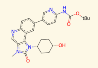 Cn1c(=O)n([C@H]2CC[C@@H](O)CC2)c2c3cc(-c4ccc(NC(=O)OC(C)(C)C)nc4)ccc3ncc21